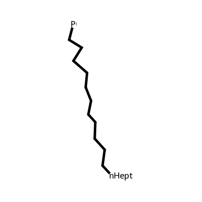 CCCCCCCCCCCCCCCCCC[P]